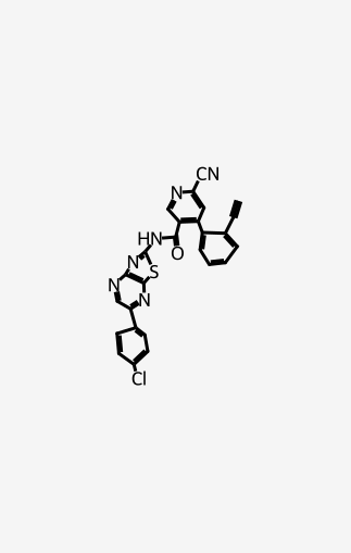 C#Cc1ccccc1-c1cc(C#N)ncc1C(=O)Nc1nc2ncc(-c3ccc(Cl)cc3)nc2s1